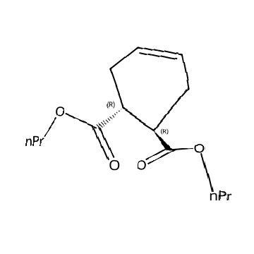 CCCOC(=O)[C@@H]1CC=CC[C@H]1C(=O)OCCC